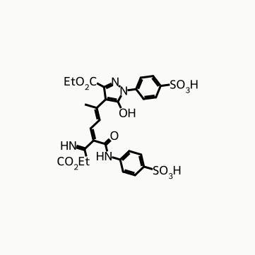 CCOC(=O)C(=N)/C(=C/C=C(C)c1c(C(=O)OCC)nn(-c2ccc(S(=O)(=O)O)cc2)c1O)C(=O)Nc1ccc(S(=O)(=O)O)cc1